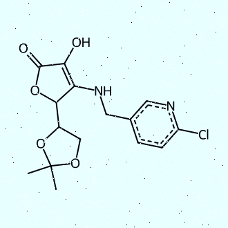 CC1(C)OCC(C2OC(=O)C(O)=C2NCc2ccc(Cl)nc2)O1